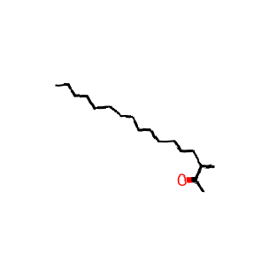 CCCCCCCCCCCCCCC(C)C(C)=O